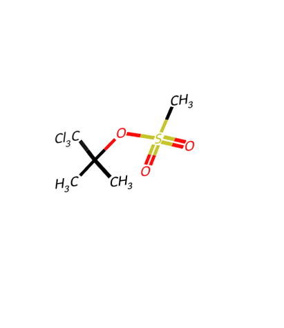 CC(C)(OS(C)(=O)=O)C(Cl)(Cl)Cl